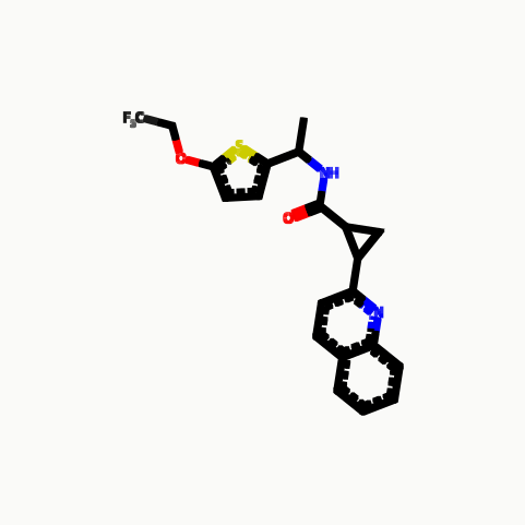 CC(NC(=O)C1CC1c1ccc2ccccc2n1)c1ccc(OCC(F)(F)F)s1